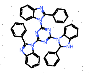 c1ccc(-c2nc3ccccc3n2-c2nc(N3c4ccccc4NC3c3ccccc3)nc(-n3c(-c4ccccc4)nc4ccccc43)n2)cc1